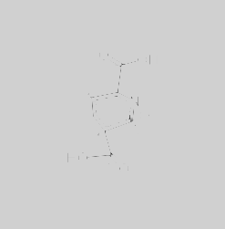 O.O=C(O)c1ccc(C(=O)O)nc1